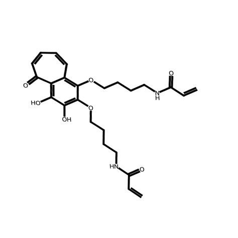 C=CC(=O)NCCCCOc1c(O)c(O)c2c(=O)ccccc2c1OCCCCNC(=O)C=C